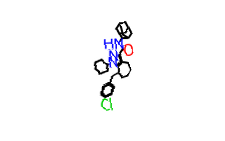 O=C(NC1C2CC3CC(C2)CC1C3)c1nn(C2CCCCC2)c2c1CCCCC2Cc1ccc(Cl)cc1